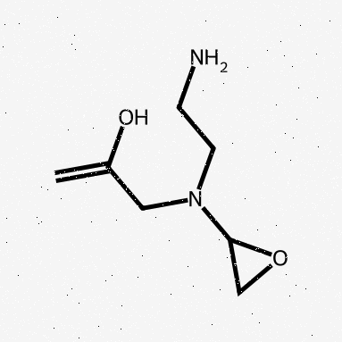 C=C(O)CN(CCN)C1CO1